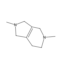 CN1CCC2=C(C1)CN(C)C2